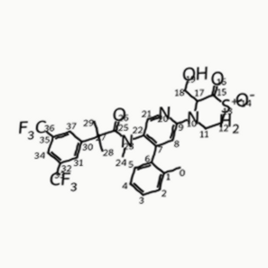 Cc1ccccc1-c1cc(N2CC[SH2+]([O-])C(=O)C2CO)ncc1N(C)C(=O)C(C)(C)c1cc(C(F)(F)F)cc(C(F)(F)F)c1